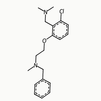 CN(C)Cc1c(Cl)cccc1OCCN(C)Cc1ccccc1